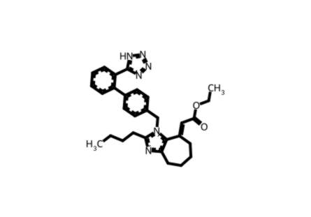 CCCCc1nc2c(n1Cc1ccc(-c3ccccc3-c3nnn[nH]3)cc1)C(=CC(=O)OCC)CCCC2